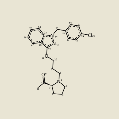 CC(=O)[C@@H]1CCCN1CCCOc1nn(Cc2ccc(Cl)cc2)c2ccccc12